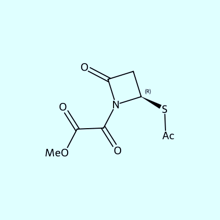 COC(=O)C(=O)N1C(=O)C[C@H]1SC(C)=O